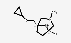 NN1C[C@H]2CC[C@@](COC3CC3)(C1)N2